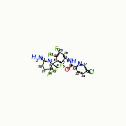 NC1=N[C@](CF)(c2cc(NC(=O)c3ccc(Cl)cn3)cc(F)c2F)C(F)(F)CC1